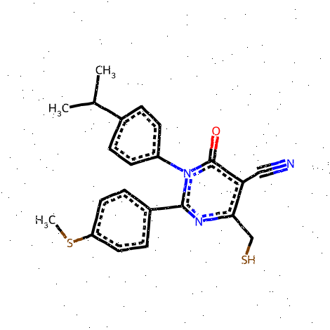 CSc1ccc(-c2nc(CS)c(C#N)c(=O)n2-c2ccc(C(C)C)cc2)cc1